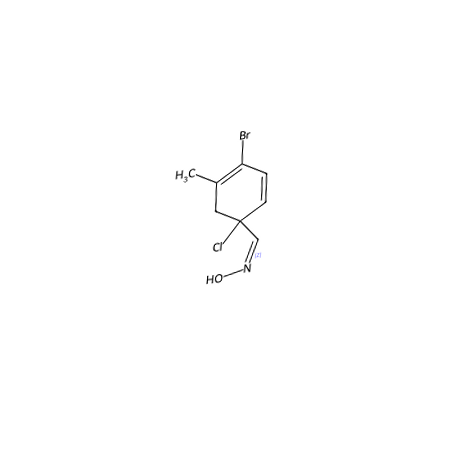 CC1=C(Br)C=CC(Cl)(/C=N\O)C1